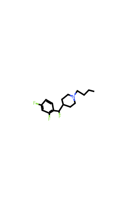 CCCCN1CCC(C(F)c2ccc(F)cc2F)CC1